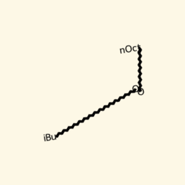 CCCCCCCCC=CCCCCCCCCCCCC(=O)OCCCCCCCCCCCCCCCCCCCCCCCCCCCCCCCC(C)CC